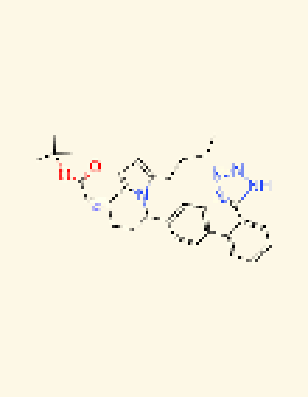 CCCCc1ccc2n1C(c1ccc(-c3ccccc3-c3nnn[nH]3)cc1)CC/C2=C/C(=O)OC(C)(C)C